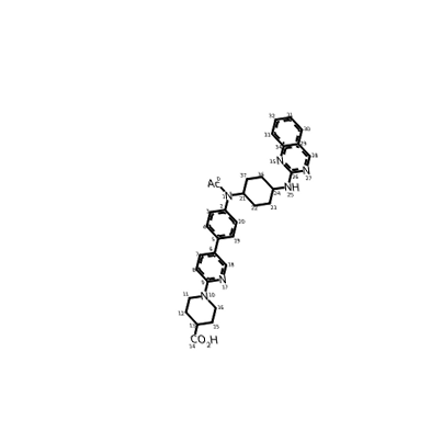 CC(=O)N(c1ccc(-c2ccc(N3CCC(C(=O)O)CC3)nc2)cc1)C1CCC(Nc2ncc3ccccc3n2)CC1